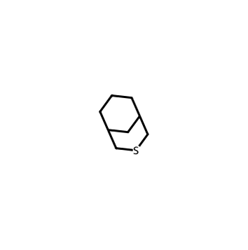 C1CC2CSCC(C1)C2